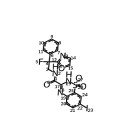 O=C(NCC(F)(c1ccccc1)c1ncco1)C1=Nc2ccc(I)cc2S(=O)(=O)N1